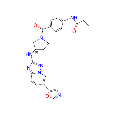 C=CC(=O)Nc1ccc(C(=O)N2CC[C@@H](Nc3nc4ccc(-c5cnco5)cn4n3)C2)cc1